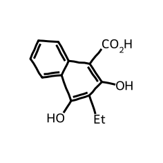 CCc1c(O)c(C(=O)O)c2ccccc2c1O